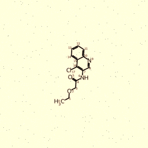 CCOCC(=O)Nc1cnc2ccccc2c1Cl